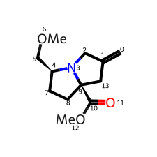 C=C1CN2[C@H](COC)CC[C@@]2(C(=O)OC)C1